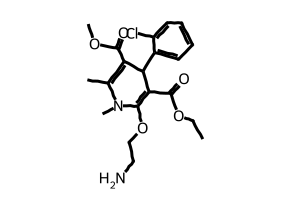 CCOC(=O)C1=C(OCCN)N(C)C(C)=C(C(=O)OC)C1c1ccccc1Cl